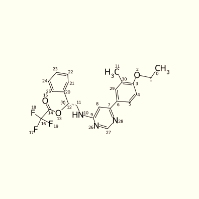 CCOc1ccc(-c2cc(NC[C@H](OC(=O)C(F)(F)F)c3ccccc3)ncn2)cc1C